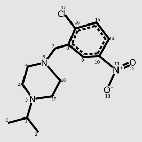 CC(C)N1CCN(Cc2cc([N+](=O)[O-])ccc2Cl)CC1